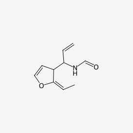 C=CC(NC=O)C1C=CO/C1=C/C